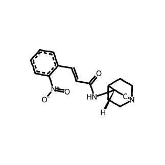 O=C(C=Cc1ccccc1[N+](=O)[O-])N[C@H]1CN2CCC1CC2